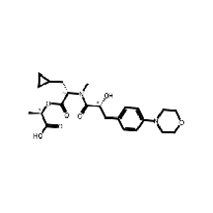 C[C@@H](OC(=O)[C@H](CC1CC1)N(C)C(=O)[C@H](O)Cc1ccc(N2CCOCC2)cc1)C(=O)O